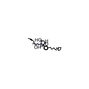 CC#CC[C@@H](C)[C@H](O)/C=C/[C@@H]1[C@H]2c3cccc(CCCCN4CCCC4)c3O[C@H]2C[C@H]1O